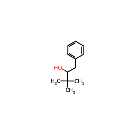 CC(C)(C)C(O)Cc1ccccc1